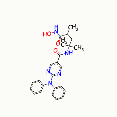 CC(CC(C)(C)NC(=O)c1cnc(N(c2ccccc2)c2ccccc2)nc1)C(=O)NO